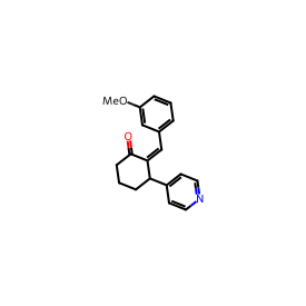 COc1cccc(C=C2C(=O)CCCC2c2ccncc2)c1